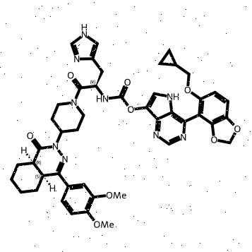 COc1ccc(C2=NN(C3CCN(C(=O)[C@@H](Cc4c[nH]cn4)NC(=O)Oc4c[nH]c5c(-c6c(OCC7CC7)ccc7c6OCO7)ncnc45)CC3)C(=O)[C@@H]3CCCC[C@H]23)cc1OC